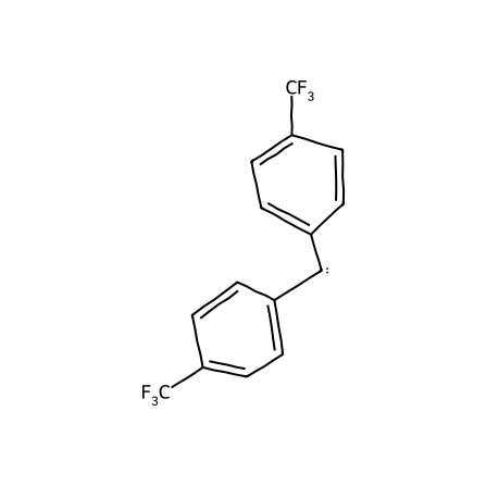 FC(F)(F)c1ccc([C]c2ccc(C(F)(F)F)cc2)cc1